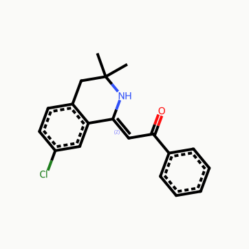 CC1(C)Cc2ccc(Cl)cc2/C(=C/C(=O)c2ccccc2)N1